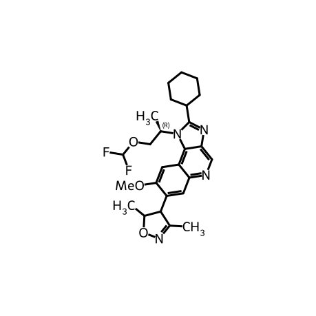 COc1cc2c(cc1C1C(C)=NOC1C)ncc1nc(C3CCCCC3)n([C@H](C)COC(F)F)c12